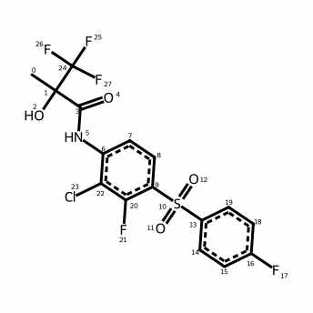 CC(O)(C(=O)Nc1ccc(S(=O)(=O)c2ccc(F)cc2)c(F)c1Cl)C(F)(F)F